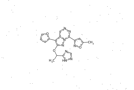 Cc1cc(-c2nncc3c(-c4ccco4)c(OC(C)c4ncn[nH]4)nn23)no1